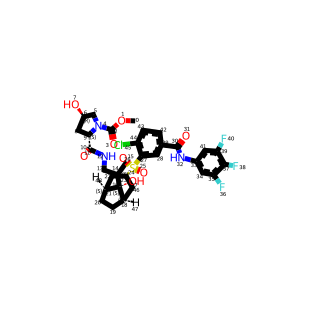 COC(=O)N1C[C@H](O)C[C@H]1C(=O)NCC(C)[C@@]1(O)[C@@H]2CC[C@H]1C[C@H](S(=O)(=O)c1cc(C(=O)Nc3cc(F)c(F)c(F)c3)ccc1Cl)C2